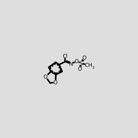 CS(=O)(=O)ON=C(Cl)c1ccc2c(c1)OCO2